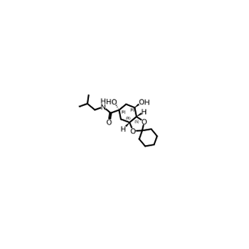 CC(C)CNC(=O)[C@@]1(O)C[C@@H](O)[C@@H]2OC3(CCCCC3)O[C@@H]2C1